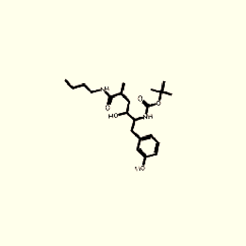 CCCCNC(=O)C(C)CC(O)C(Cc1cccc(O)c1)NC(=O)OC(C)(C)C